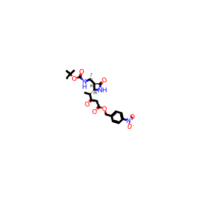 CC(C(=O)CC(=O)OCc1ccc([N+](=O)[O-])cc1)[C@H]1NC(=O)[C@@H]1[C@@H](C)NC(=O)OC(C)(C)C